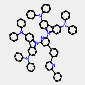 c1ccc(-c2cccc(-c3cccc(-c4cc(-n5c6ccc(N(c7ccccc7)c7ccccc7)cc6c6cc(N(c7ccccc7)c7ccccc7)ccc65)nc(-n5c6ccc(N(c7ccccc7)c7ccccc7)cc6c6cc(N(c7ccccc7)c7ccccc7)ccc65)c4)c3)n2)cc1